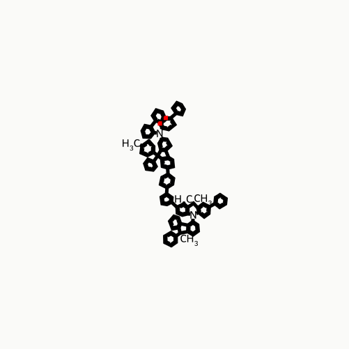 Cc1ccc(C2(c3ccccc3)c3cc(-c4ccc(-c5cccc(-c6ccc7c(c6)C(C)(C)c6cc(-c8ccccc8)ccc6N7c6cccc7c6-c6ccccc6C7(C)c6ccccc6)c5)cc4)ccc3-c3ccc(N(c4ccc(-c5ccccc5)cc4)c4ccccc4-c4ccccc4)cc32)cc1